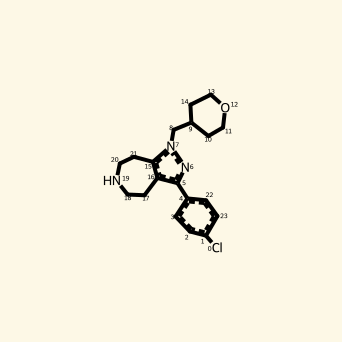 Clc1ccc(-c2nn(CC3CCOCC3)c3c2CCNCC3)cc1